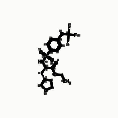 CCOC(=O)[C@@H](C[C@@H]1CCOC1)NS(=O)(=O)c1ccc(OC(F)(F)F)cc1